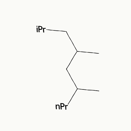 [CH2]C(C)CC(C)CC(C)CCC